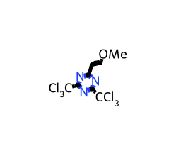 CO/C=C/c1nc(C(Cl)(Cl)Cl)nc(C(Cl)(Cl)Cl)n1